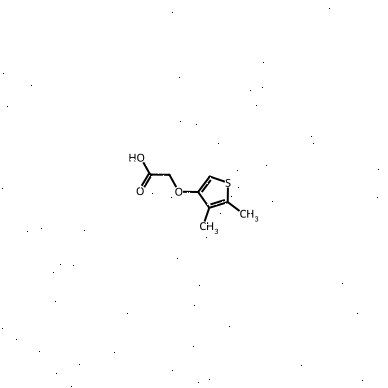 Cc1scc(OCC(=O)O)c1C